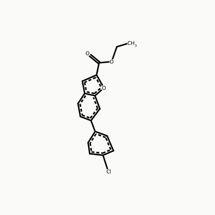 CCOC(=O)c1cc2ccc(-c3ccc(Cl)cc3)cc2o1